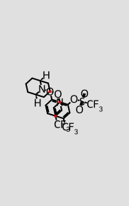 O=S(=O)(Oc1cc(C(F)(F)F)ccc1O[C@H]1C[C@H]2CCC[C@@H](C1)N2Oc1ccc(C(F)(F)F)cn1)C(F)(F)F